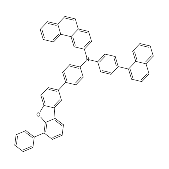 c1ccc(-c2cccc3c2oc2ccc(-c4ccc(N(c5ccc(-c6cccc7ccccc67)cc5)c5ccc6ccc7ccccc7c6c5)cc4)cc23)cc1